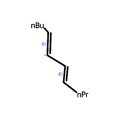 CCC/C=C/[C]=C/CCCC